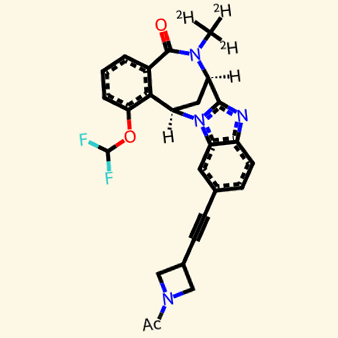 [2H]C([2H])([2H])N1C(=O)c2cccc(OC(F)F)c2[C@H]2C[C@@H]1c1nc3ccc(C#CC4CN(C(C)=O)C4)cc3n12